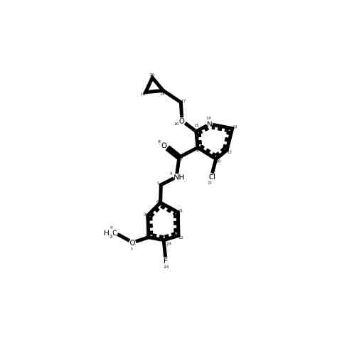 COc1cc(CNC(=O)c2c(Cl)ccnc2OCC2CC2)ccc1F